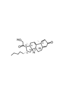 CCCCC[C@H]1C[C@H]2[C@@H]3CCC4=CC(=O)C=C[C@]4(C)C3=CC[C@]2(C)[C@@H]1C(=O)CO